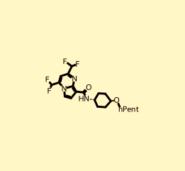 CCCCCO[C@H]1CC[C@H](NC(=O)c2ccn3c(C(F)F)cc(C(F)F)nc23)CC1